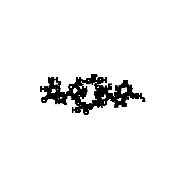 Nc1nc2c(ncn2[C@@H]2O[C@@H]3CO[P@@](=O)(S)O[C@H]4[C@H](F)[C@H](n5ccc6c(N)ncnc65)O[C@@H]4CO[P@@](=O)(S)O[C@@H]2[C@H]3F)c(=O)[nH]1